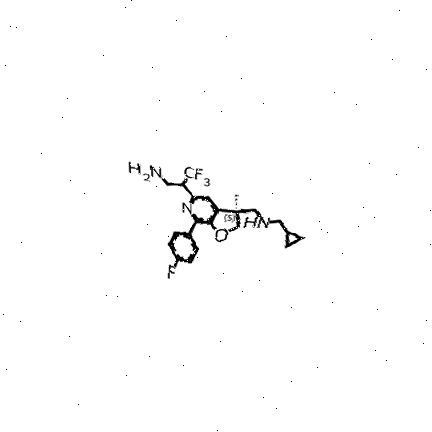 C[C@]1(CNCC2CC2)COc2c1cc(C(CN)C(F)(F)F)nc2-c1ccc(F)cc1